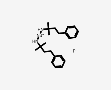 CC(C)(CCc1ccccc1)[NH][Nd+][NH]C(C)(C)CCc1ccccc1.[F-]